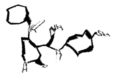 N=C(Nc1ccc(S)cc1)c1c(NC2CCCC2)cc[nH]c1=O